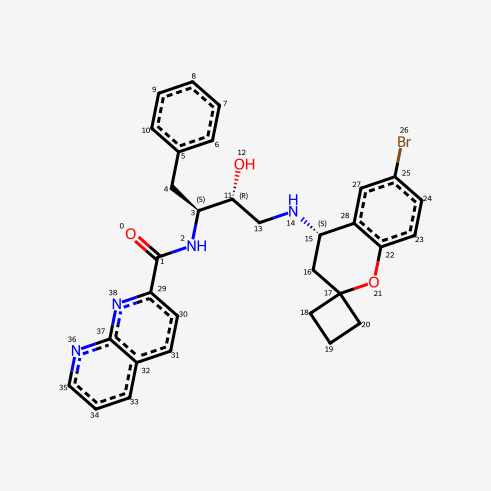 O=C(N[C@@H](Cc1ccccc1)[C@H](O)CN[C@H]1CC2(CCC2)Oc2ccc(Br)cc21)c1ccc2cccnc2n1